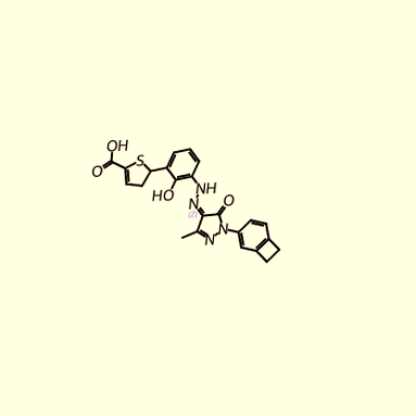 CC1=NN(c2ccc3c(c2)CC3)C(=O)/C1=N\Nc1cccc(C2CC=C(C(=O)O)S2)c1O